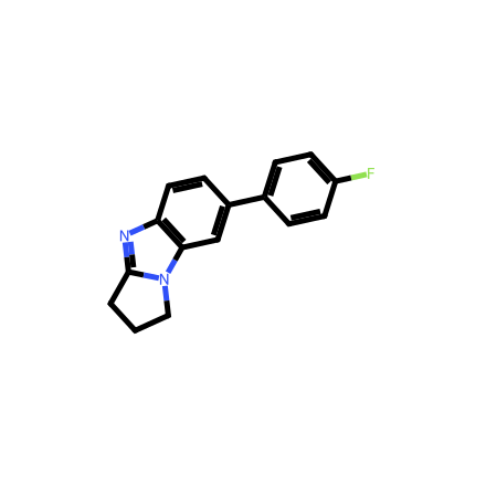 Fc1ccc(-c2ccc3nc4n(c3c2)CCC4)cc1